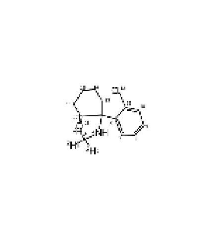 [2H]C([2H])([2H])NC1(c2ccccc2Cl)CCCCC1=O